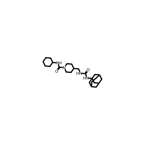 O=C(NCC1CCN(C(=O)NC2CCCCC2)CC1)NC12CC3CC(CC(C3)C1)C2